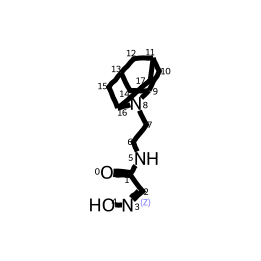 O=C(/C=N\O)NCCN1C2CC3CC(C2)CC1C3